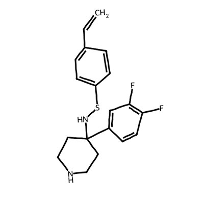 C=Cc1ccc(SNC2(c3ccc(F)c(F)c3)CCNCC2)cc1